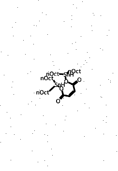 CCCCCCC[CH2][SnH]([CH2]CCCCCCC)[O]C(=O)/C=C\C(=O)[O][SnH]([CH2]CCCCCCC)[CH2]CCCCCCC